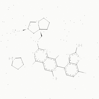 CO[C@H]1CN2CCC[C@]2(COc2nc(O[C@@H]3CCNC3)c3cc(C(F)(F)F)c(-c4ccc(F)c5sc(N)nc45)c(F)c3n2)C1